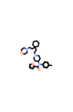 Cc1ccc(N(C(=O)c2ccco2)C2CCN(CCC3(CCN4CCOCC4)CCCCC3)CC2)cc1